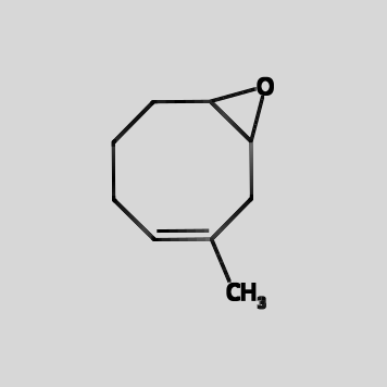 CC1=CCCCC2OC2C1